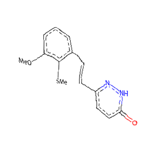 COc1cccc(C=Cc2ccc(=O)[nH]n2)c1SC